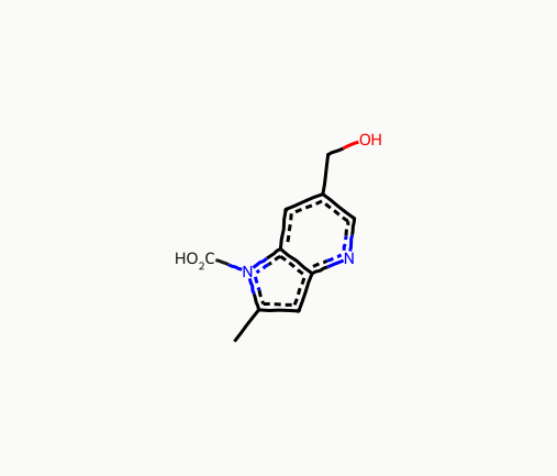 Cc1cc2ncc(CO)cc2n1C(=O)O